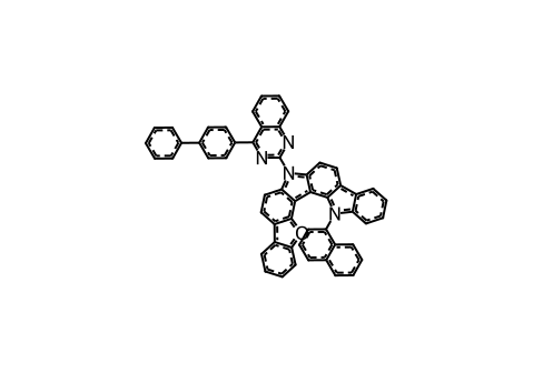 c1ccc(-c2ccc(-c3nc(-n4c5ccc6c7ccccc7oc6c5c5c4ccc4c6ccccc6n(-c6cccc7ccccc67)c45)nc4ccccc34)cc2)cc1